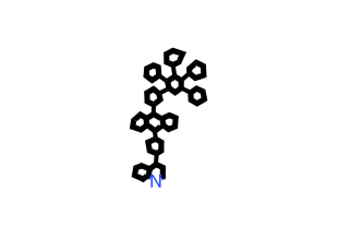 c1ccc(-c2cc(-c3cccc(-c4c5ccccc5c(-c5ccc(-c6ccnc7ccccc67)cc5)c5ccccc45)c3)c(-c3ccccc3)c(-c3ccccc3)c2-c2ccccc2)cc1